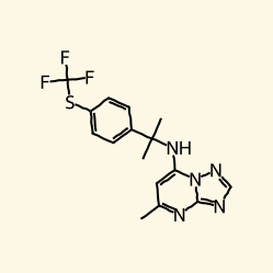 Cc1cc(NC(C)(C)c2ccc(SC(F)(F)F)cc2)n2ncnc2n1